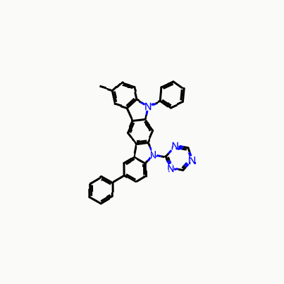 Cc1ccc2c(c1)c1cc3c4cc(-c5ccccc5)ccc4n(-c4ncncn4)c3cc1n2-c1ccccc1